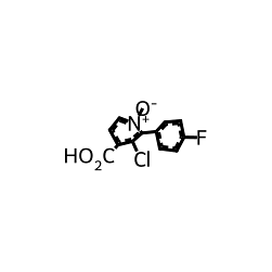 O=C(O)c1cc[n+]([O-])c(-c2ccc(F)cc2)c1Cl